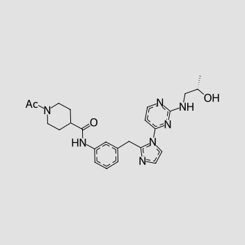 CC(=O)N1CCC(C(=O)Nc2cccc(Cc3nccn3-c3ccnc(NC[C@H](C)O)n3)c2)CC1